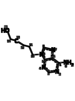 Nc1ncnc2c1ncn2CCCCCO